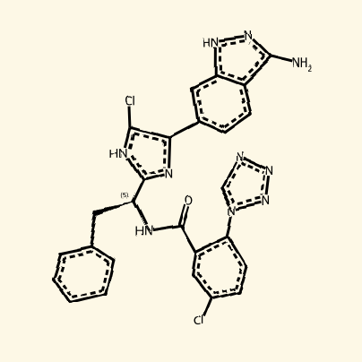 Nc1n[nH]c2cc(-c3nc([C@H](Cc4ccccc4)NC(=O)c4cc(Cl)ccc4-n4cnnn4)[nH]c3Cl)ccc12